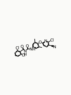 Cc1cc(NC(=O)NC(=O)c2c(Cl)cccc2Cl)cc(C)c1Oc1ccc(C#N)c(Cl)n1